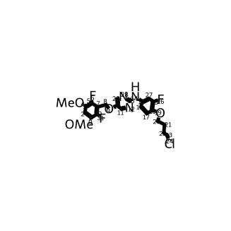 COc1cc(OC)c(F)c(COc2cnc(Nc3ccc(OCCCCCl)c(F)c3)nc2)c1F